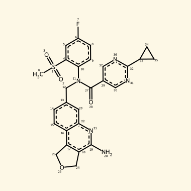 CS(=O)(=O)c1cc(F)ccc1N(Cc1ccc2c3c(c(N)nc2c1)COC3)C(=O)c1cnc(C2CC2)nc1